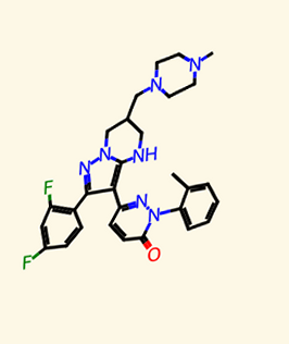 Cc1ccccc1-n1nc(-c2c(-c3ccc(F)cc3F)nn3c2NCC(CN2CCN(C)CC2)C3)ccc1=O